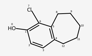 Oc1ccc2c(c1Cl)CCCCC2